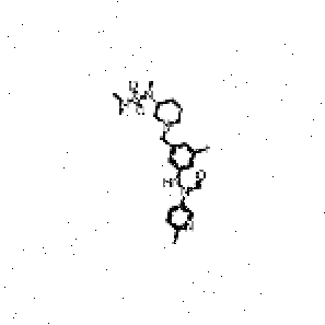 Cc1ccc(N(C=O)Nc2cc(F)cc(CN3CCC[C@@H](N(C)S(=O)(=O)N(C)C)C3)c2)cn1